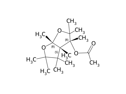 CC(=O)O[C@@]1(C)C(C)(C)O[C@@]2(C)OC(C)(C)C(C)(C)[C@]21C